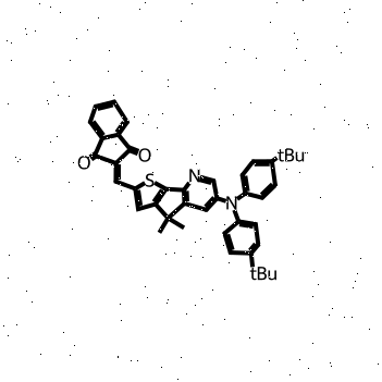 CC(C)(C)c1ccc(N(c2ccc(C(C)(C)C)cc2)c2cnc3c(c2)C(C)(C)c2cc(C=C4C(=O)c5ccccc5C4=O)sc2-3)cc1